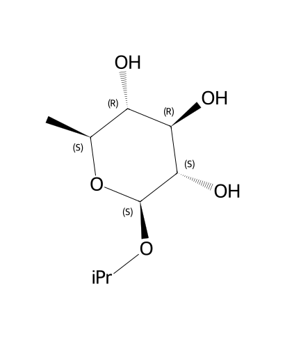 CC(C)O[C@H]1O[C@@H](C)[C@H](O)[C@@H](O)[C@@H]1O